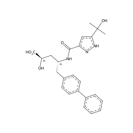 CC(C)(O)c1cc(C(=O)N[C@H](Cc2ccc(-c3ccccc3)cc2)C[C@@H](O)C(=O)O)n[nH]1